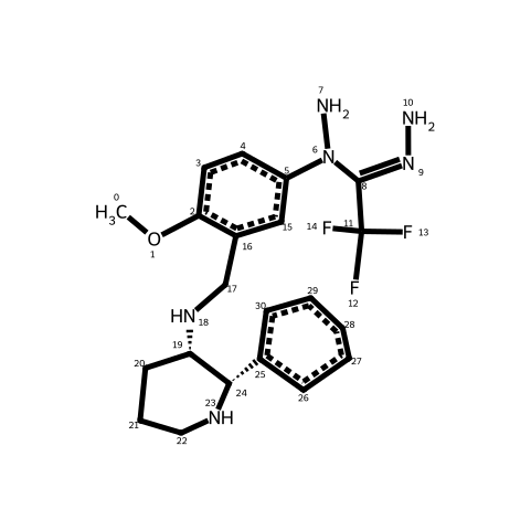 COc1ccc(N(N)/C(=N\N)C(F)(F)F)cc1CN[C@H]1CCCN[C@H]1c1ccccc1